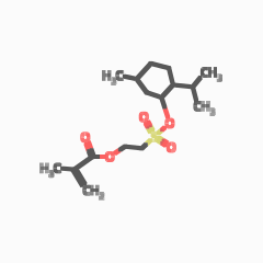 C=C(C)C(=O)OCCS(=O)(=O)OC1CC(C)CCC1C(C)C